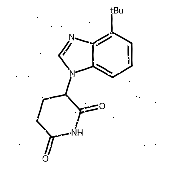 CC(C)(C)c1cccc2c1ncn2C1CCC(=O)NC1=O